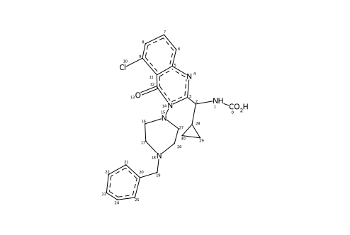 O=C(O)NC(c1nc2cccc(Cl)c2c(=O)n1N1CCN(Cc2ccccc2)CC1)C1CC1